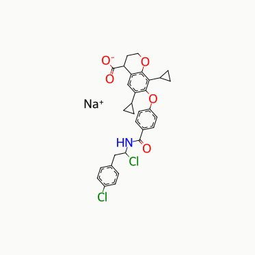 O=C(NC(Cl)Cc1ccc(Cl)cc1)c1ccc(Oc2c(C3CC3)cc3c(c2C2CC2)OCCC3C(=O)[O-])cc1.[Na+]